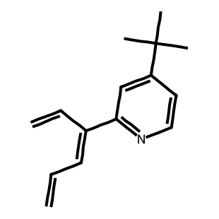 C=C/C=C(\C=C)c1cc(C(C)(C)C)ccn1